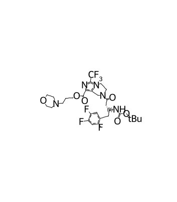 CC(C)(C)OC(=O)N[C@@H](CC(=O)N1CCn2c(C(F)(F)F)nc(C(=O)OCCCN3CCOCC3)c2C1)Cc1cc(F)c(F)cc1F